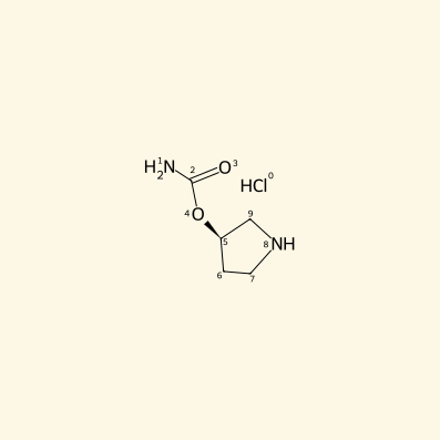 Cl.NC(=O)O[C@@H]1CCNC1